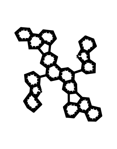 c1ccc2c(c1)cc1c3c(cccc32)-c2cc3c(cc2-1)c(-c1cccc2c1sc1ccccc12)cc1c2cc4c(cc2c(-c2cccc5c2sc2ccccc25)cc31)-c1cc2ccccc2c2cccc-4c12